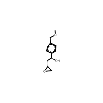 COCc1ccc([C@@H](O)C[C@@H]2CO2)cc1